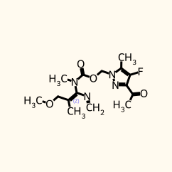 C=N/C(=C(\C)COC)N(C)C(=O)OCn1nc(C(C)=O)c(F)c1C